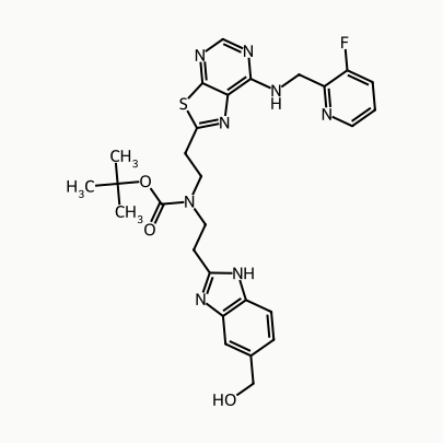 CC(C)(C)OC(=O)N(CCc1nc2cc(CO)ccc2[nH]1)CCc1nc2c(NCc3ncccc3F)ncnc2s1